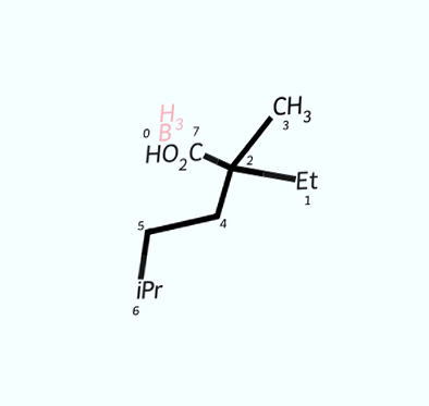 B.CCC(C)(CCC(C)C)C(=O)O